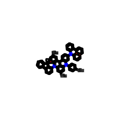 CC(C)(C)c1ccc(N2c3cc(N(c4ccccc4)c4ccccc4-c4ccccc4)ccc3B3c4cc(C(C)(C)C)ccc4N(c4cccc5c4C(C)(C)c4ccccc4-5)c4cc(C(C)(C)C)cc2c43)cc1